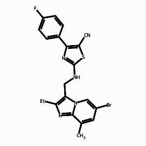 CCc1nc2c(C)cc(Br)cn2c1CNc1nc(-c2ccc(F)cc2)c(C#N)s1